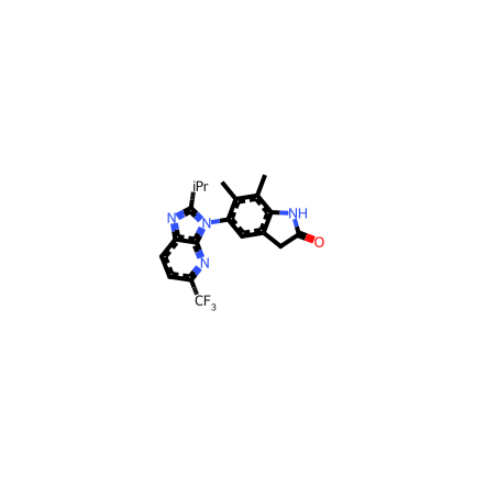 Cc1c(-n2c(C(C)C)nc3ccc(C(F)(F)F)nc32)cc2c(c1C)NC(=O)C2